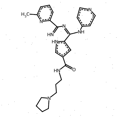 Cc1cccc(C(=N)/N=C(/Nc2ccncc2)c2cc(C(=O)NCCCN3CCCC3)c[nH]2)n1